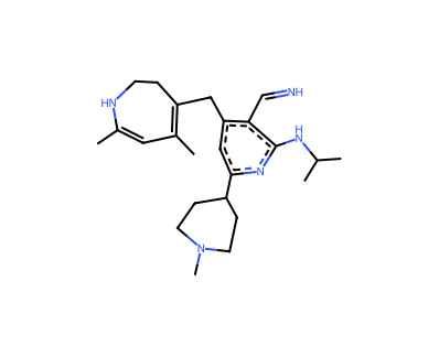 CC1=CC(C)=C(Cc2cc(C3CCN(C)CC3)nc(NC(C)C)c2C=N)CCN1